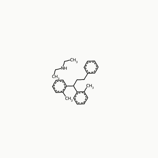 CCNCC.Cc1ccccc1C(CCc1ccccc1)c1ccccc1C